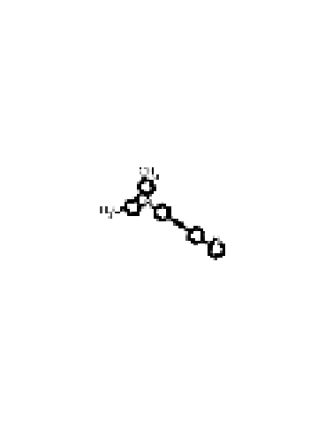 Cc1ccc2c(c1)c1cc(C)ccc1n2-c1ccc(C#Cc2ccc(-c3ccccn3)cc2)cc1